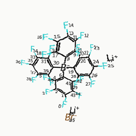 Fc1c(F)c(F)c([B-](c2c(F)c(F)c(F)c(F)c2F)(c2c(F)c(F)c(F)c(F)c2F)c2c(F)c(F)c(F)c(F)c2F)c(F)c1F.[Br-].[Li+].[Li+]